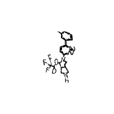 Cc1cccc(-c2ccc(N3CC4CNCC4C3OC(=O)C(F)(F)F)nn2)c1